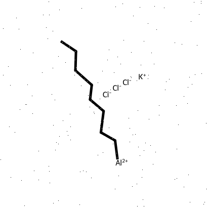 CCCCCCC[CH2][Al+2].[Cl-].[Cl-].[Cl-].[K+]